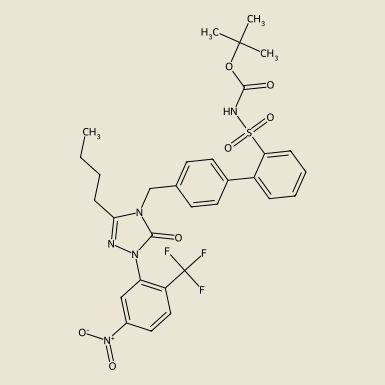 CCCCc1nn(-c2cc([N+](=O)[O-])ccc2C(F)(F)F)c(=O)n1Cc1ccc(-c2ccccc2S(=O)(=O)NC(=O)OC(C)(C)C)cc1